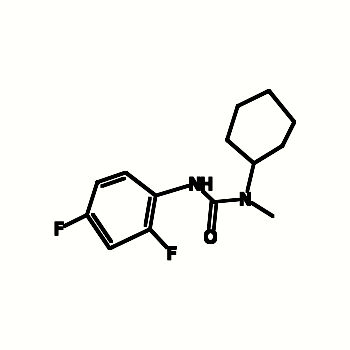 CN(C(=O)Nc1ccc(F)cc1F)C1CCCCC1